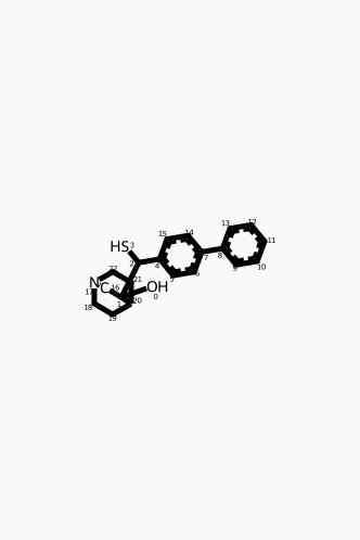 OC1(C(S)c2ccc(-c3ccccc3)cc2)CN2CCC1CC2